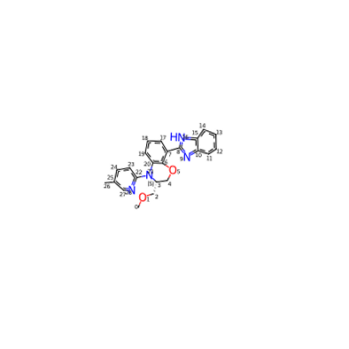 COC[C@H]1COc2c(-c3nc4ccccc4[nH]3)cccc2N1c1ccc(C)cn1